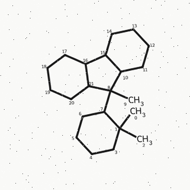 CC1(C)CCCCC1C1(C)C2CCCCC2C2CCCCC21